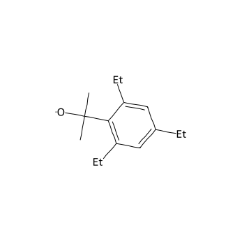 CCc1cc(CC)c(C(C)(C)[O])c(CC)c1